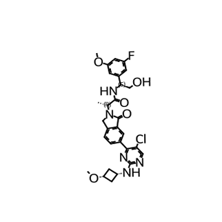 COc1cc(F)cc([C@@H](CO)NC(=O)[C@@H](C)N2Cc3ccc(-c4nc(N[C@H]5C[C@@H](OC)C5)ncc4Cl)cc3C2=O)c1